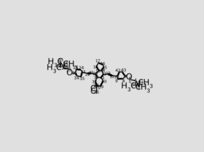 C[N+](C)(C)CCOc1ccc(C#Cc2c3ccccc3c(C#Cc3ccc(OCC[N+](C)(C)C)cc3)c3ccccc23)cc1.[Cl-].[Cl-]